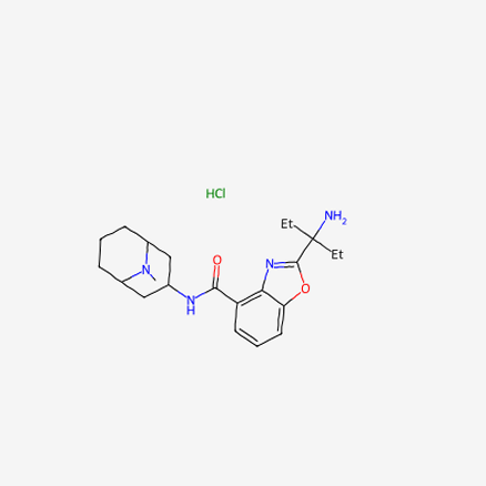 CCC(N)(CC)c1nc2c(C(=O)NC3CC4CCCC(C3)N4C)cccc2o1.Cl